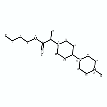 CCCCOC(=O)C(C)N1CCC(N2CCN(C)CC2)CC1